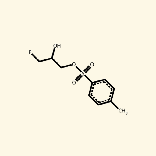 Cc1ccc(S(=O)(=O)OCC(O)CF)cc1